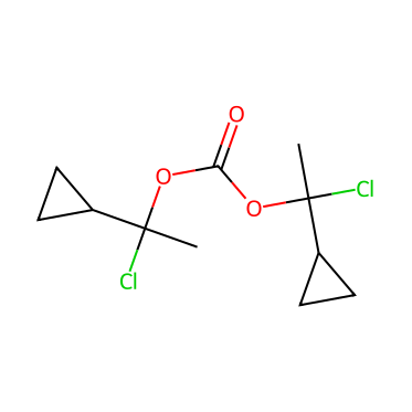 CC(Cl)(OC(=O)OC(C)(Cl)C1CC1)C1CC1